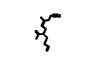 C=CCC[C@@H](C/C=C(/C)CCOC(C)=O)C(=C)C